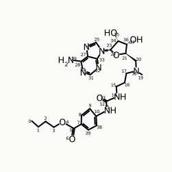 CCCCOC(=O)c1ccc(NC(=O)NCCCN(C)C[C@H]2O[C@@H](n3cnc4c(N)ncnc43)[C@H](O)[C@@H]2O)cc1